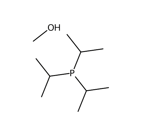 CC(C)P(C(C)C)C(C)C.CO